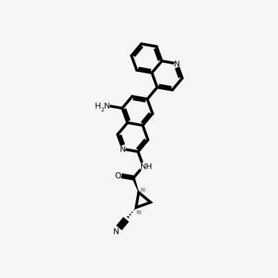 N#C[C@H]1C[C@@H]1C(=O)Nc1cc2cc(-c3ccnc4ccccc34)cc(N)c2cn1